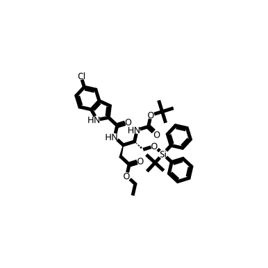 CCOC(=O)C[C@@H](NC(=O)c1cc2cc(Cl)ccc2[nH]1)[C@@H](CO[Si](c1ccccc1)(c1ccccc1)C(C)(C)C)NC(=O)OC(C)(C)C